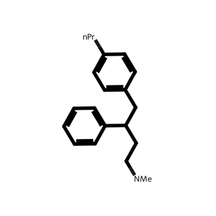 CCCc1ccc(CC(CCNC)c2ccccc2)cc1